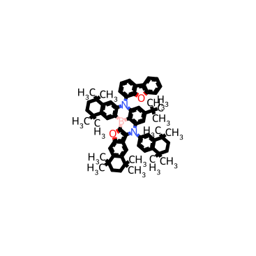 CC(C)(C)c1cc2c3c(c1)N(c1cccc4c1oc1ccccc14)c1cc4c(cc1B3c1oc3cc5c(cc3c1N2c1ccc2c(c1)C(C)(C)CCC2(C)C)C(C)(C)CCC5(C)C)C(C)(C)CCC4(C)C